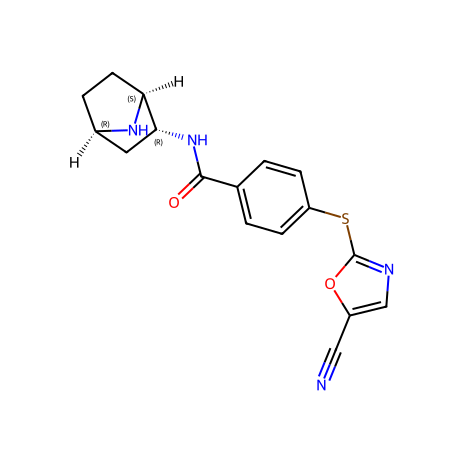 N#Cc1cnc(Sc2ccc(C(=O)N[C@@H]3C[C@H]4CC[C@@H]3N4)cc2)o1